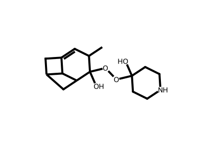 CC1C=C2CC3CC(C23)C1(O)OOC1(O)CCNCC1